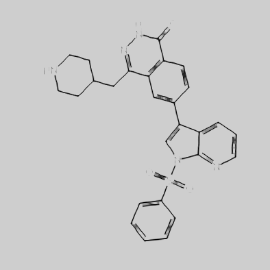 O=c1[nH]nc(CC2CCNCC2)c2cc(-c3cn(S(=O)(=O)c4ccccc4)c4ncccc34)ccc12